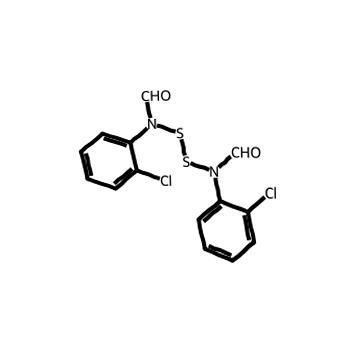 O=CN(SSN(C=O)c1ccccc1Cl)c1ccccc1Cl